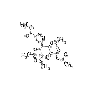 COC(=O)c1cn([C@@H]2C(OC(C)=O)[C@H](SC)OC(COC(C)=O)[C@@H]2OC(C)=O)nn1